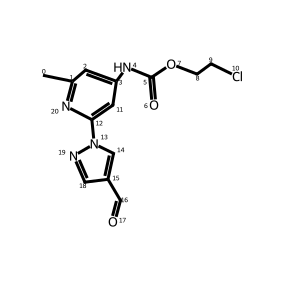 Cc1cc(NC(=O)OCCCl)cc(-n2cc(C=O)cn2)n1